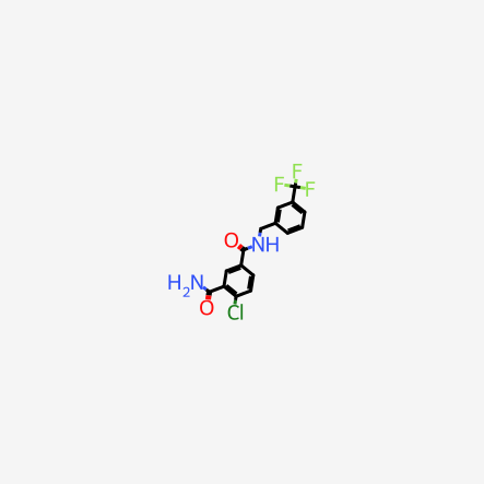 NC(=O)c1cc(C(=O)NCc2cccc(C(F)(F)F)c2)ccc1Cl